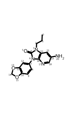 CCCn1c(=O)n(-c2ccc3c(c2)OCO3)c2ncc(N)cc21